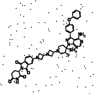 Nc1ncnc2c1c(-c1ccc(Oc3ccccc3)cc1)nn2C1([SiH3])CCN(C2CN(C3CN(c4ccc5c(c4)C(=O)N(C4CCC(=O)NC4=O)C5=O)C3)C2)CC1F